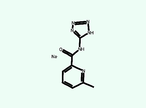 Cc1cccc(C(=O)Nc2nnn[nH]2)n1.[Na]